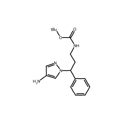 CC(C)(C)OC(=O)NCCC(c1ccccc1)n1cc(N)cn1